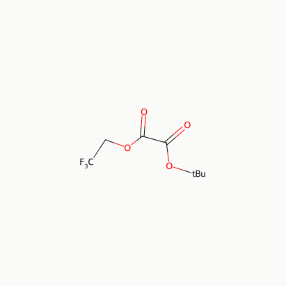 CC(C)(C)OC(=O)C(=O)OCC(F)(F)F